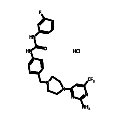 Cl.Nc1nc(N2CCN(Cc3ccc(NC(=O)Nc4cccc(F)c4)cc3)CC2)cc(C(F)(F)F)n1